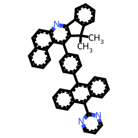 CC1(C)c2ccccc2-c2nc3ccc4ccccc4c3c(-c3ccc(-c4c5ccccc5c(-c5ncccn5)c5ccccc45)cc3)c21